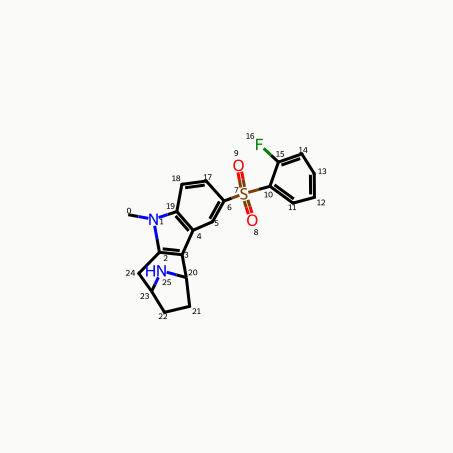 Cn1c2c(c3cc(S(=O)(=O)c4ccccc4F)ccc31)C1CCC(C2)N1